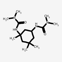 CN(C)C(=O)NC1CC(C)(C)CC(C)(NC(=O)N(C)C)C1